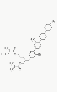 C=C(C)C(=O)OCC(CCCOC(=O)C(=C)CO)Cc1ccc(-c2ccc(C3CCC(C4CCC(CCC)CC4)CC3)c(C)c2)c(CC)c1